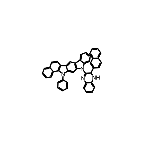 c1ccc(-n2c3cc4c(cc3c3ccc5ccccc5c32)c2ccccc2n4C2=Nc3ccccc3NC2c2ccc3ccccc3c2)cc1